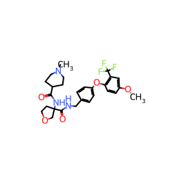 COc1ccc(Oc2ccc(CNC(=O)C3(NC(=O)C4CCN(C)CC4)CCOC3)cc2)c(C(F)(F)F)c1